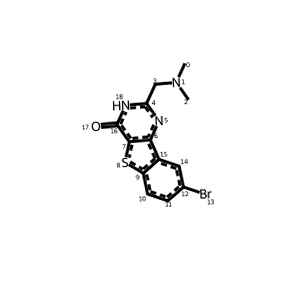 CN(C)Cc1nc2c(sc3ccc(Br)cc32)c(=O)[nH]1